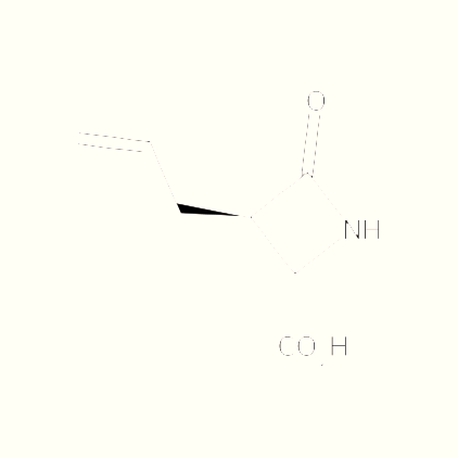 C=CC[C@H]1C(=O)N[C@@H]1C(=O)O